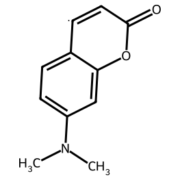 CN(C)c1ccc2[c]cc(=O)oc2c1